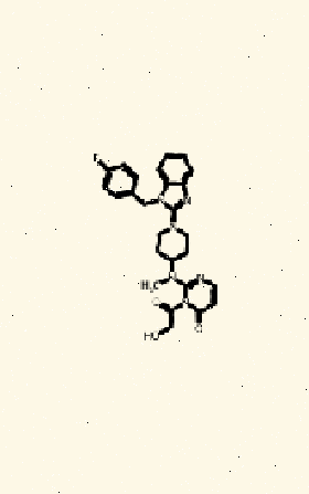 CN(c1nccc(=O)n1C(=O)CO)C1CCN(c2nc3ccccc3n2Cc2ccc(F)cc2)CC1